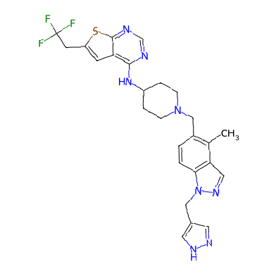 Cc1c(CN2CCC(Nc3ncnc4sc(CC(F)(F)F)cc34)CC2)ccc2c1cnn2Cc1cn[nH]c1